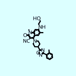 Cc1cc2c(N3CCC(c4nc(-c5ccccc5C)no4)CC3)c(C#N)c(=O)n(C)c2cc1NCCO